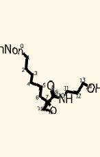 CCCCCCCCCCCCCCCC1(C(=O)NCCCO)CO1